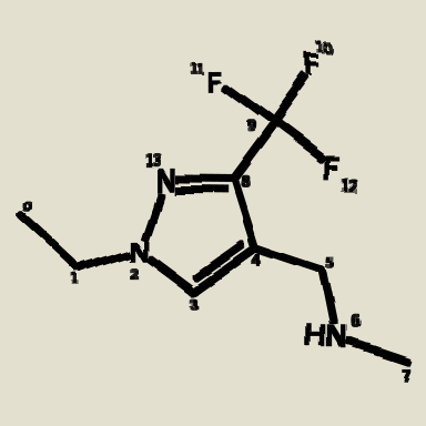 CCn1cc(CNC)c(C(F)(F)F)n1